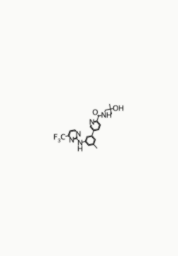 Cc1cc(Nc2nccc(C(F)(F)F)n2)cc(-c2ccc(C(=O)NCC(C)(C)O)nc2)c1